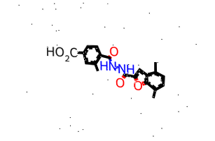 Cc1cc(C(=O)O)ccc1C(=O)NNC(=O)c1cc2c(C)ccc(C)c2o1